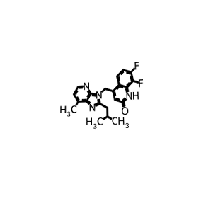 Cc1ccnc2c1nc(CC(C)C)n2Cc1cc(=O)[nH]c2c(F)c(F)ccc12